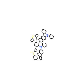 C1=CC(N(c2ccc3c(c2)C2(c4ccccc4Sc4ccccc42)c2ccccc2-3)c2cccc3c2-c2ccccc2C32c3ccccc3Sc3ccccc32)=CC(c2ccc3c4ccccc4n(-c4ccccc4)c3c2)C1